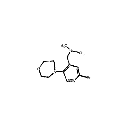 CN(C)Cc1cc(Br)ncc1N1CCOCC1